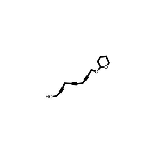 OCC#CCC#CCC#CCOC1CCCCO1